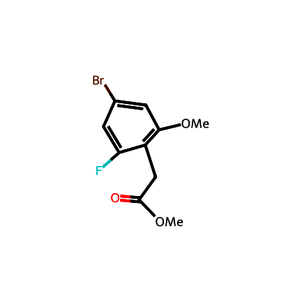 COC(=O)Cc1c(F)cc(Br)cc1OC